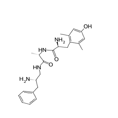 Cc1cc(O)cc(C)c1C[C@H](N)C(=O)N[C@@H](C)C(=O)NC[C@@H](N)Cc1ccccc1